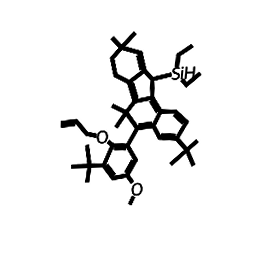 C=CCOc1c(C2=c3cc(C(C)(C)C)ccc3=C3C(=C4CCC(C)(C)C=C4C3[SiH](CC)CC)C2(C)C)cc(OC)cc1C(C)(C)C